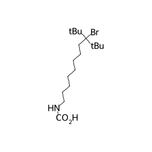 CC(C)(C)C(Br)(CCCCCCCCNC(=O)O)C(C)(C)C